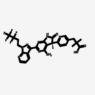 CC(C)(Cc1ccc([C@]2(C)C(=O)Nc3nc(-c4nn(CCC(F)(F)C(F)(F)F)c5ncccc45)nc(N)c32)nc1)C(=O)O